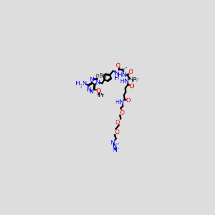 CCCCc1nc2c(N)nnc(OC(C)C)c2n1Cc1ccc(CNC(=O)[C@H](C)NC(=O)[C@@H](NC(=O)CCCC(=O)NCCOCCOCCOCCN=[N+]=[N-])C(C)C)cc1